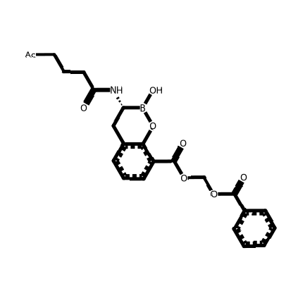 CC(=O)CCCC(=O)N[C@H]1Cc2cccc(C(=O)OCOC(=O)c3ccccc3)c2OB1O